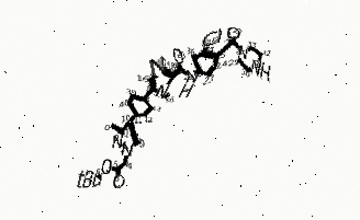 Cc1nn(CC(=O)OC(C)(C)C)cc1-c1ccc(-c2cnc(C(=O)Nc3ccc(C(=O)N4CCNCC4)c(Cl)c3)n2C)cc1